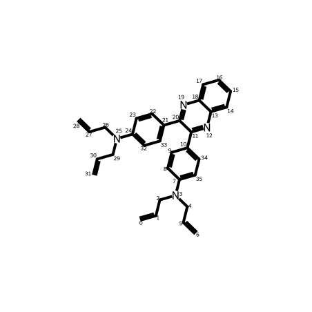 C=CCN(CC=C)c1ccc(-c2nc3ccccc3nc2-c2ccc(N(CC=C)CC=C)cc2)cc1